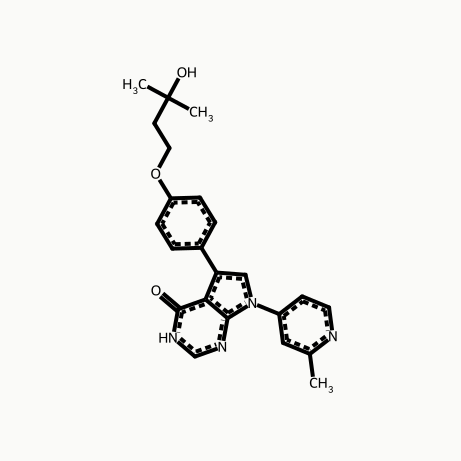 Cc1cc(-n2cc(-c3ccc(OCCC(C)(C)O)cc3)c3c(=O)[nH]cnc32)ccn1